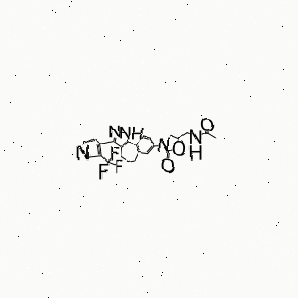 CC(=O)NCC1CN(c2ccc3c(c2)CCCc2c(-c4ccncc4C(F)(F)F)n[nH]c2-3)C(=O)O1